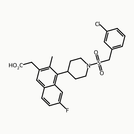 Cc1c(CC(=O)O)cc2ccc(F)cc2c1C1CCN(S(=O)(=O)Cc2cccc(Cl)c2)CC1